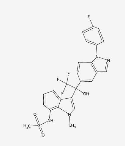 Cn1cc(C(O)(c2ccc3c(cnn3-c3ccc(F)cc3)c2)C(F)(F)F)c2cccc(NS(C)(=O)=O)c21